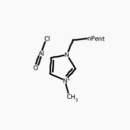 CCCCCCn1cc[n+](C)c1.[O]=[Al][Cl]